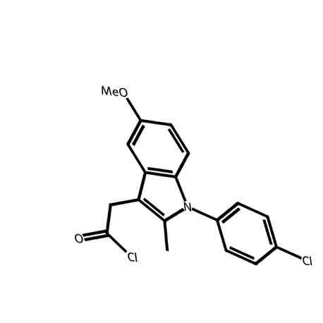 COc1ccc2c(c1)c(CC(=O)Cl)c(C)n2-c1ccc(Cl)cc1